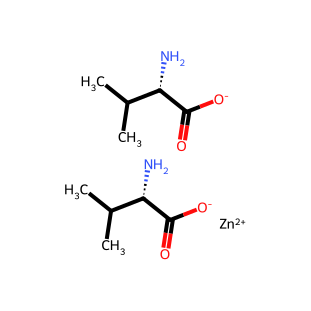 CC(C)[C@H](N)C(=O)[O-].CC(C)[C@H](N)C(=O)[O-].[Zn+2]